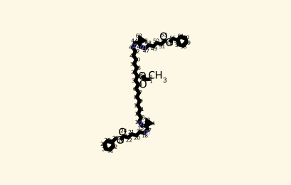 CCC(=O)OC(CCCCCCCC/C=C\C1(/C=C\CCCCC(=O)OCc2ccccc2)CC1)CCCCCCCC/C=C\C1(/C=C\CCCCC(=O)OCc2ccccc2)CC1